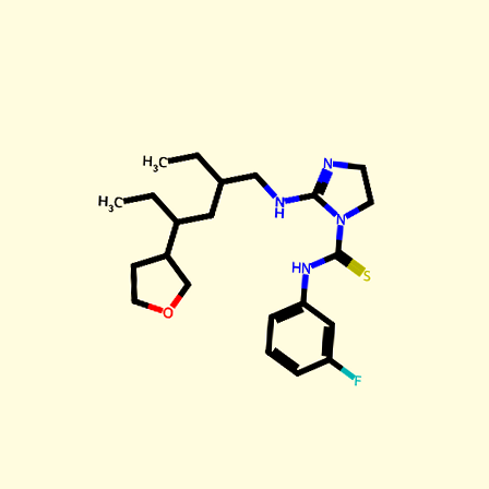 CCC(CNC1=NCCN1C(=S)Nc1cccc(F)c1)CC(CC)C1CCOC1